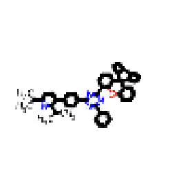 CC(C)c1ccc(-c2ccc(-c3nc(-c4ccccc4)nc(-c4cccc5c4Oc4ccccc4C54c5ccccc5-c5ccccc54)n3)cc2)c(C(C)C)n1